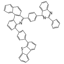 c1ccc(-c2nc(-c3ccc(-c4nc5c(-c6ccc(-c7cccc8c7sc7ccccc78)cc6)cccc5c5c4ccc4ccccc45)cc3)c3ccccc3n2)cc1